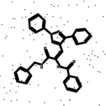 O=C(NCc1ccccc1)C(=Cc1cn(-c2ccccc2)nc1-c1ccccc1)NC(=O)c1ccccc1